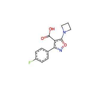 O=C(O)c1c(-c2ccc(F)cc2)noc1N1CCC1